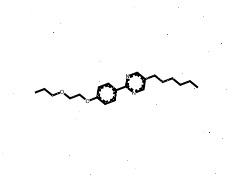 CCCCCCc1cnc(-c2ccc(OCCOCCC)cc2)nc1